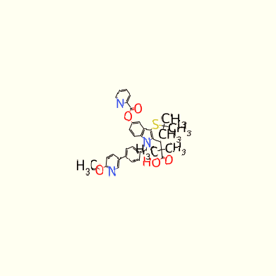 COc1ccc(-c2ccc(Cn3c(CC(C)(C)C(=O)O)c(SC(C)(C)C)c4cc(OC(=O)c5ccccn5)ccc43)cc2)cn1